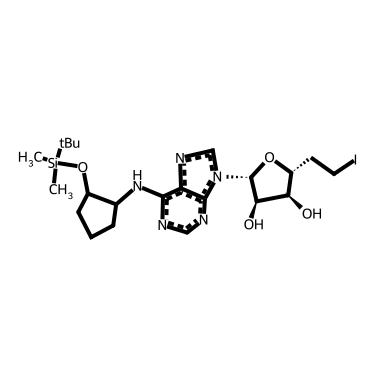 CC(C)(C)[Si](C)(C)OC1CCCC1Nc1ncnc2c1ncn2[C@@H]1O[C@H](CCI)[C@@H](O)[C@H]1O